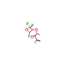 C=C(C)C(=O)C(C)OC1C(F)OC1(F)F